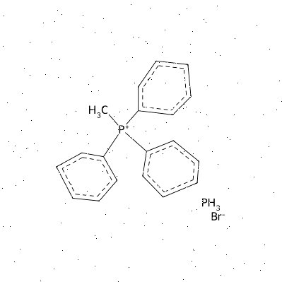 C[P+](c1ccccc1)(c1ccccc1)c1ccccc1.P.[Br-]